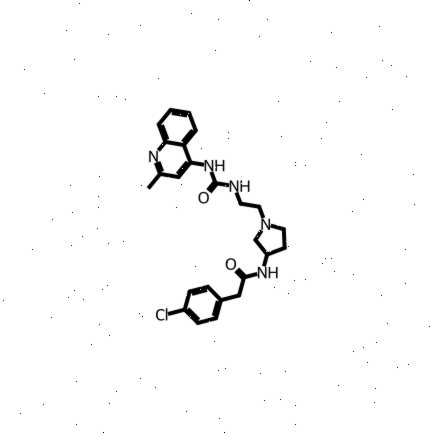 Cc1cc(NC(=O)NCCN2CCC(NC(=O)Cc3ccc(Cl)cc3)C2)c2ccccc2n1